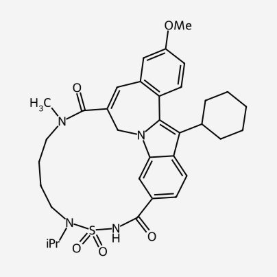 COc1ccc2c(c1)C=C1Cn3c-2c(C2CCCCC2)c2ccc(cc23)C(=O)NS(=O)(=O)N(C(C)C)CCCCN(C)C1=O